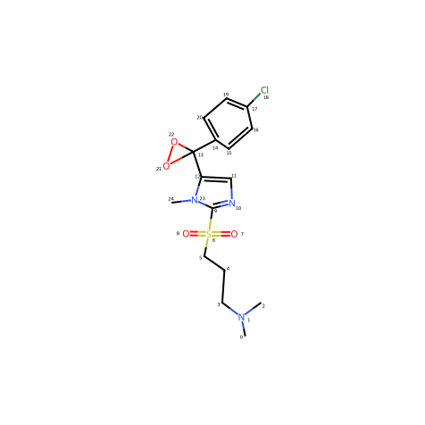 CN(C)CCCS(=O)(=O)c1ncc(C2(c3ccc(Cl)cc3)OO2)n1C